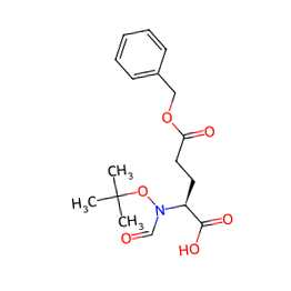 CC(C)(C)ON(C=O)[C@@H](CCC(=O)OCc1ccccc1)C(=O)O